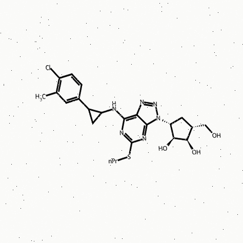 CCCSc1nc(NC2CC2c2ccc(Cl)c(C)c2)c2nnn([C@@H]3C[C@H](CO)[C@@H](O)[C@H]3O)c2n1